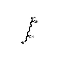 CCCC(O)CCCCCC(O)CCO